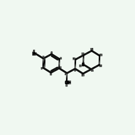 OC(c1ccc(Br)cc1)C1CC2CCCC(C1)S2